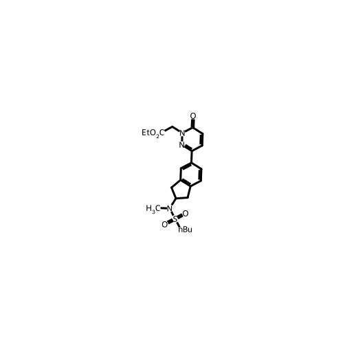 CCCCS(=O)(=O)N(C)C1Cc2ccc(-c3ccc(=O)n(CC(=O)OCC)n3)cc2C1